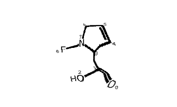 O=C(O)C1C=CCN1F